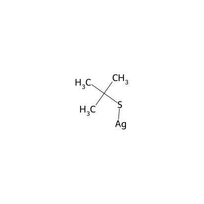 CC(C)(C)[S][Ag]